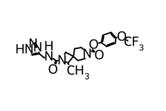 CC1N(C(=O)NCc2c[nH]nn2)CC12CCN(C(=O)Oc1ccc(OC(F)(F)F)cc1)CC2